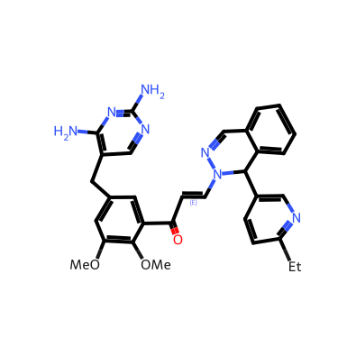 CCc1ccc(C2c3ccccc3C=NN2/C=C/C(=O)c2cc(Cc3cnc(N)nc3N)cc(OC)c2OC)cn1